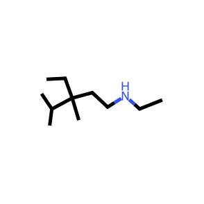 CCNCCC(C)(CC)C(C)C